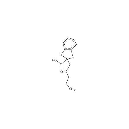 CCCCCC1(C(=O)O)Cc2ccccc2C1